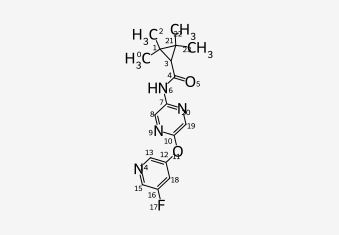 CC1(C)C(C(=O)Nc2cnc(Oc3cncc(F)c3)cn2)C1(C)C